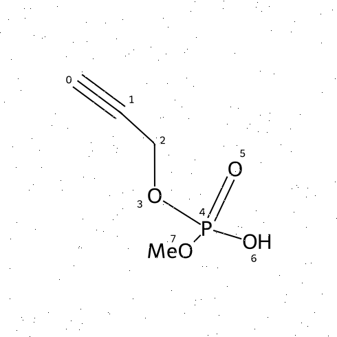 C#CCOP(=O)(O)OC